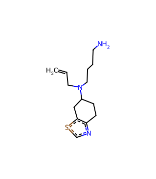 C=CCN(CCCCN)C1CCc2ncsc2C1